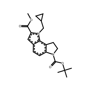 COC(=O)c1cc2ccc3c(c2n1CC1CC1)CCN3C(=O)OC(C)(C)C